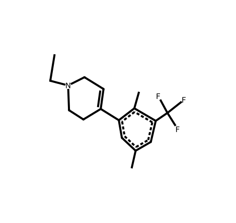 CCN1CC=C(c2cc(C)cc(C(F)(F)F)c2C)CC1